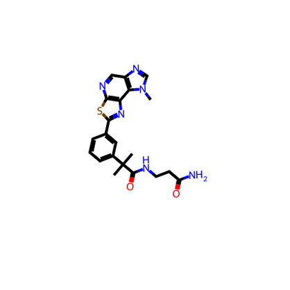 Cn1cnc2cnc3sc(-c4cccc(C(C)(C)C(=O)NCCC(N)=O)c4)nc3c21